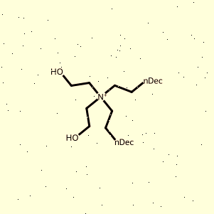 CCCCCCCCCCCC[N+](CCO)(CCO)CCCCCCCCCCCC